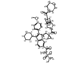 COc1ccc(-c2c(C3CCCCC3)c3ccc(C(=O)NS(=O)(=O)N(C)C)cc3n2CC2(C(=O)N3CC45CCC4(CN(C(=O)N4CCOCC4)C5)C3)CC2)cc1